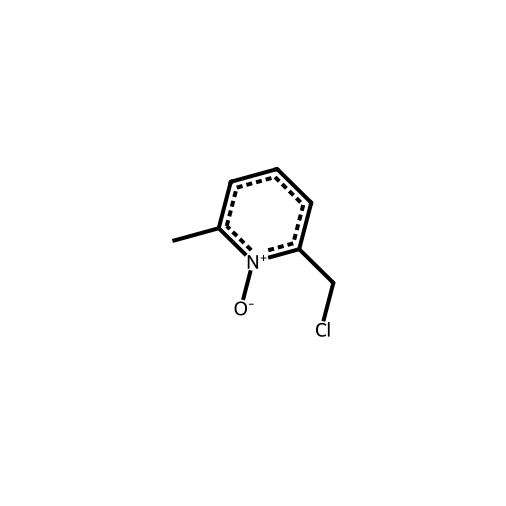 Cc1cccc(CCl)[n+]1[O-]